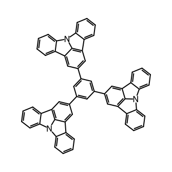 c1ccc2c(c1)c1cc(-c3cc(-c4cc5c6ccccc6n6c7ccccc7c(c4)c56)cc(-c4cc5c6ccccc6n6c7ccccc7c(c4)c56)c3)cc3c4ccccc4n2c13